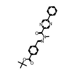 CN(/N=C/c1ccc(C(=O)OC(C)(C)C)cc1)C(=O)c1cnc(-c2ccccc2)cn1